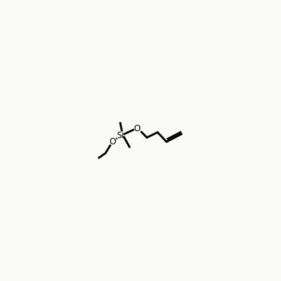 C=CCCO[Si](C)(C)OCC